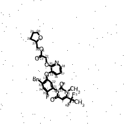 Cn1c(C(C)(F)F)cc(=O)n(-c2cc(Oc3cccnc3OCC(=O)OCC3CCCO3)c(Br)cc2F)c1=O